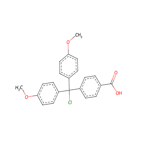 COc1ccc(C(Cl)(c2ccc(OC)cc2)c2ccc(C(=O)O)cc2)cc1